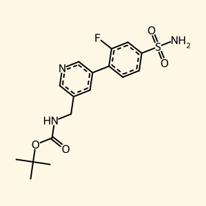 CC(C)(C)OC(=O)NCc1cncc(-c2ccc(S(N)(=O)=O)cc2F)c1